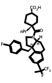 CCC[C@]1(C(=O)N2CC[C@@]3(Cc4ccc(F)cc4)c4ccc(C(C)(F)C(F)(F)F)cc4CC[C@@H]23)CC[C@H](C(=O)O)CC1